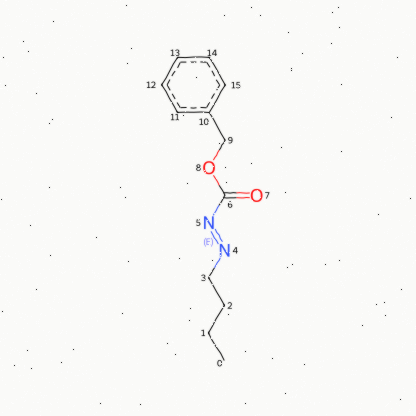 CCCC/N=N/C(=O)OCc1ccccc1